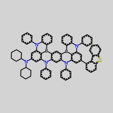 c1ccc(N2c3ccccc3B3c4cc5c(cc4N(c4ccccc4)c4cc(-c6cccc7sc8ccccc8c67)cc2c43)N(c2ccccc2)c2cc(N(C3CCCCC3)C3CCCCC3)cc3c2B5c2ccccc2N3c2ccccc2)cc1